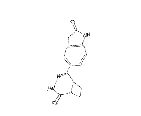 O=C1Cc2cc(C3=NNC(=O)C4CCC34)ccc2N1